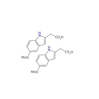 COc1ccc2[nH]c(CC(=O)O)cc2c1.COc1ccc2[nH]c(CC(=O)O)cc2c1